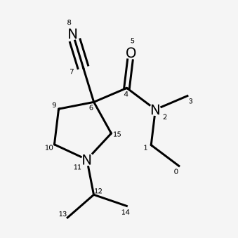 CCN(C)C(=O)C1(C#N)CCN(C(C)C)C1